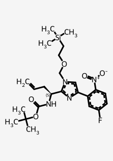 C=CC[C@H](NC(=O)OC(C)(C)C)c1nc(-c2cc(F)ccc2[N+](=O)[O-])cn1COCC[Si](C)(C)C